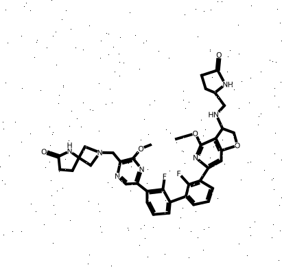 COc1nc(-c2cccc(-c3cccc(-c4cc5c(c(OC)n4)C(NCC4CCC(=O)N4)CO5)c3F)c2F)cnc1CN1CC2(CCC(=O)N2)C1